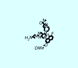 CCc1c(F)ccc2cc(OCOC)cc(N3Cc4nc(N5CC(N)C5)ncc4C(N4CCCn5nc(C(=O)N(C)C)cc5C4)C3)c12